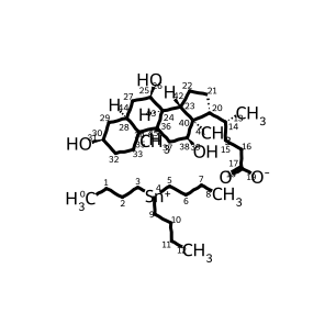 CCC[CH2][Sn+]([CH2]CCC)[CH2]CCC.C[C@H](CCC(=O)[O-])[C@H]1CC[C@H]2[C@@H]3[C@H](O)C[C@@H]4C[C@H](O)CC[C@]4(C)[C@H]3C[C@H](O)[C@]12C